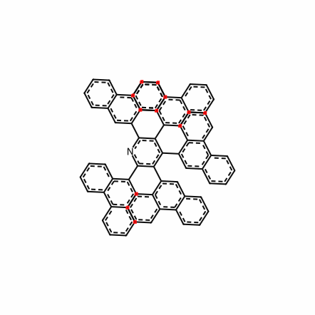 c1ccc2c(c1)cc(-c1nc(-c3cc4ccccc4c4ccccc34)c(-c3cc4ccccc4c4ccccc34)c(-c3cc4ccccc4c4ccccc34)c1-c1cc3ccccc3c3ccccc13)c1ccccc12